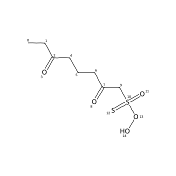 CCC(=O)CCCC(=O)CS(=O)(=S)OO